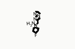 NN(Cc1cn2cccnc2n1)c1ccc(F)cc1